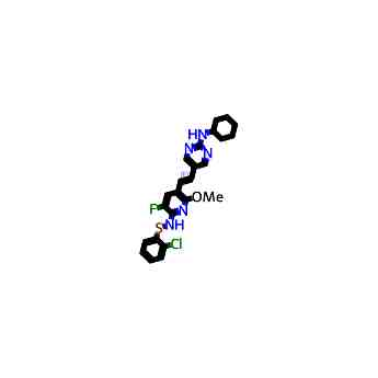 COc1nc(NSc2ccccc2Cl)c(F)cc1/C=C/c1cnc(NC2CCCCC2)nc1